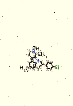 C/C(=C\n1c2c(c3cc(C)ccc31)CCN(C)C2C)c1ccc(Cl)cc1